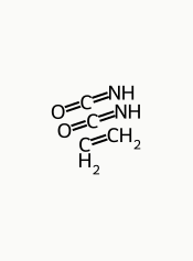 C=C.N=C=O.N=C=O